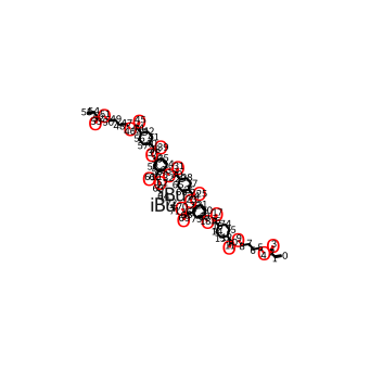 C=CC(=O)OCCCCOC(=O)C1CCC(C(=O)Oc2ccc(OC(=O)C3CCC(C(=O)Oc4ccc(OC(=O)C5CCC(C(=O)OCCCCOC(=O)C=C)CC5)cc4C(=O)OCC(C)CC)CC3)c(C(=O)OCC(C)CC)c2)CC1